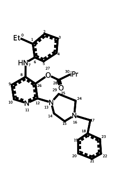 CCc1ccccc1Nc1ccnc(N2CCN(Cc3ccccc3)CC2)c1OC(=O)C(C)C